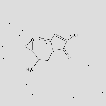 CC1=CC(=O)N(CC(C)C2CO2)C1=O